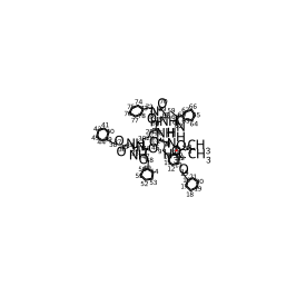 CC(C)(C)OC(=O)N[C@@H](Cc1ccc(OCc2ccccc2)cc1)C(=O)N[C@@H](CCCN(C(=N)NC(=O)OCc1ccccc1)C(=O)OCc1ccccc1)C(=O)N[C@@H](Cc1c[nH]c2ccccc12)C(=O)NCc1ccccc1